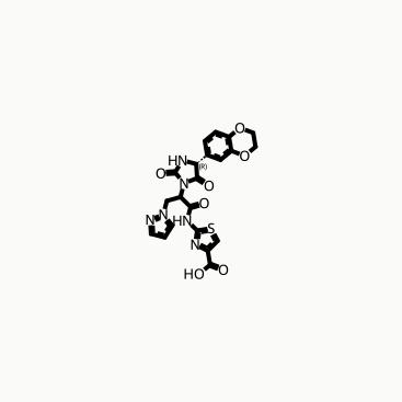 O=C(O)c1csc(NC(=O)C(Cn2cccn2)N2C(=O)N[C@H](c3ccc4c(c3)OCCO4)C2=O)n1